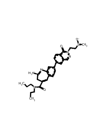 CCCN(CCC)C(=O)C1=Cc2ccc(-c3ccc4c(=O)n(CC[S+](C)[O-])ncc4c3)cc2N=C(N)C1